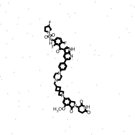 COc1cc(N2CC3(CC(CN4CCN(c5ccc(-c6cnc7[nH]cc(C(=O)c8c(F)ccc(NS(=O)(=O)N9CC[C@@H](F)C9)c8F)c7c6)cc5)CC4)C3)C2)cc2c1C(=O)N(C1CCC(=O)NC1=O)C2